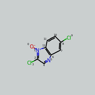 [O-][n+]1c(Cl)cnc2cc(Cl)ccc21